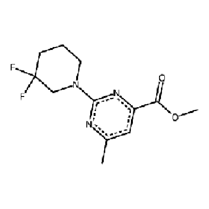 COC(=O)c1cc(C)nc(N2CCCC(F)(F)C2)n1